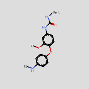 CCCCCNC(=O)Nc1ccc(Oc2ccc(NCC)cc2)c(OCC)c1